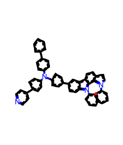 c1ccc(-c2ccc(N(c3ccc(-c4ccncc4)cc3)c3ccc(-c4ccc5c(c4)c4ccc6ccn(-c7ccccc7)c6c4n5-c4ccccc4)cc3)cc2)cc1